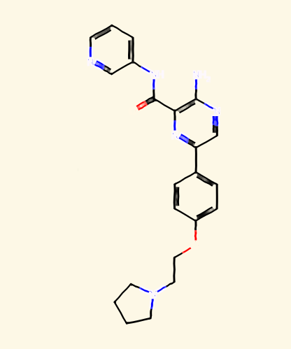 Cl.Nc1ncc(-c2ccc(OCCN3CCCC3)cc2)nc1C(=O)Nc1cccnc1